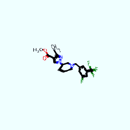 COC(=O)c1cn(C2CCCN(Cc3cc(F)cc(C(F)(F)F)c3)C2)nc1C